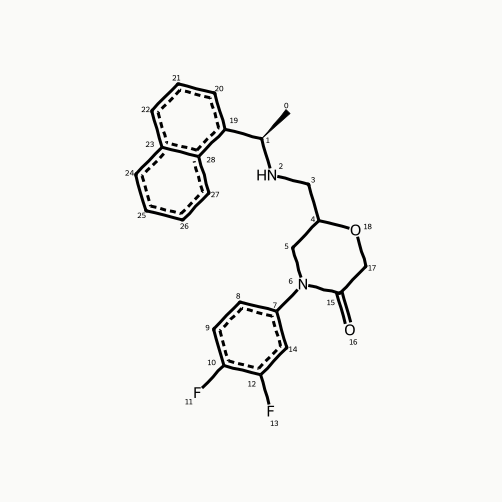 C[C@@H](NCC1CN(c2ccc(F)c(F)c2)C(=O)CO1)c1cccc2ccccc12